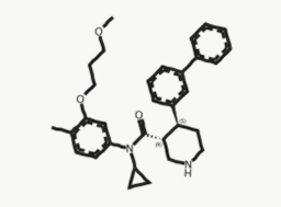 COCCCOc1cc(N(C(=O)[C@H]2CNCC[C@@H]2c2cccc(-c3ccccc3)c2)C2CC2)ccc1C